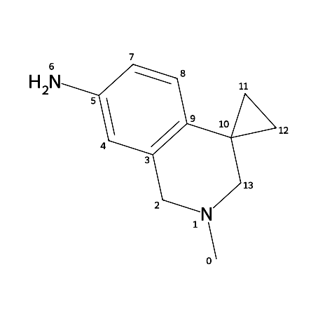 CN1Cc2cc(N)ccc2C2(CC2)C1